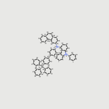 c1ccc(-n2c3ccccc3c3c(N(c4ccc(-c5ccc([Si](c6ccccc6)(c6ccccc6)c6ccccc6)cc5)cc4)c4ccc5ccc6ccccc6c5c4)cccc32)cc1